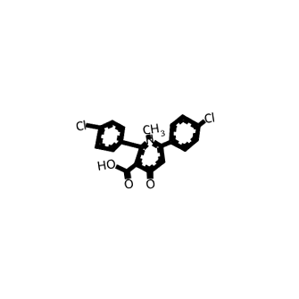 Cn1c(-c2ccc(Cl)cc2)cc(=O)c(C(=O)O)c1-c1ccc(Cl)cc1